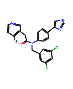 O=C(Cc1cnccc1C(F)(F)F)N(Cc1cc(F)cc(Cl)c1)c1ccc(-c2c[nH]cn2)cc1